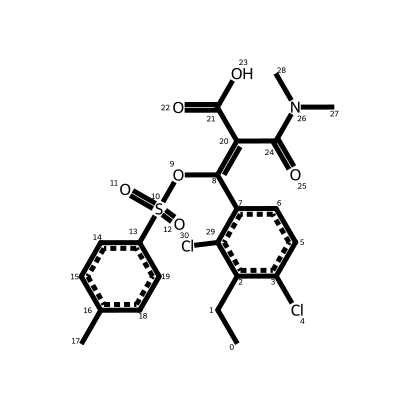 CCc1c(Cl)ccc(C(OS(=O)(=O)c2ccc(C)cc2)=C(C(=O)O)C(=O)N(C)C)c1Cl